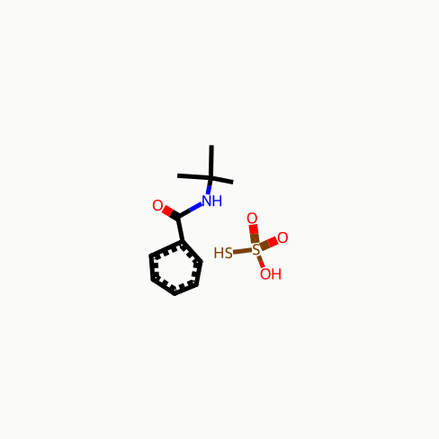 CC(C)(C)NC(=O)c1ccccc1.O=S(=O)(O)S